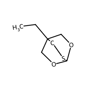 CCC12COC(OC1)SC2